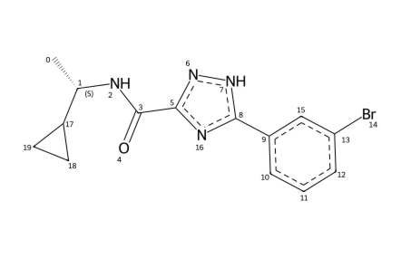 C[C@H](NC(=O)c1n[nH]c(-c2cccc(Br)c2)n1)C1CC1